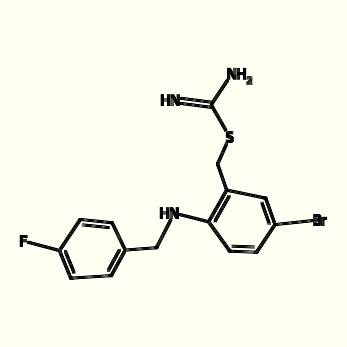 N=C(N)SCc1cc(Br)ccc1NCc1ccc(F)cc1